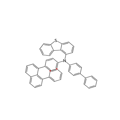 c1ccc(-c2ccc(N(c3ccc(-c4cccc5cccc(-c6ccccc6)c45)cc3)c3cccc4sc5ccccc5c34)cc2)cc1